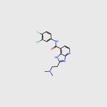 CN(C)CCc1nc2nccc(C(=O)Nc3ccc(F)c(Cl)c3)c2[nH]1